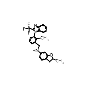 Cc1c(CNc2ccc3c(c2)OC(C)[CH]3)cccc1-n1c(C(F)(F)F)nc2ccccc21